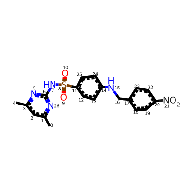 Cc1cc(C)nc(NS(=O)(=O)c2ccc(NCc3ccc([N+](=O)[O-])cc3)cc2)n1